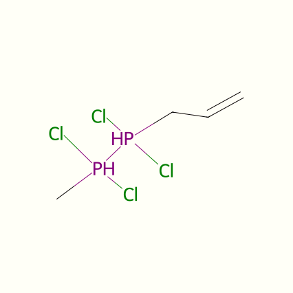 C=CC[PH](Cl)(Cl)[PH](C)(Cl)Cl